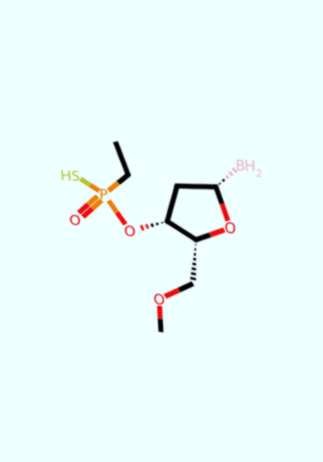 B[C@H]1C[C@@H](OP(=O)(S)CC)[C@@H](COC)O1